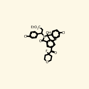 CCOC(=O)CC(c1ccc(Cl)cc1)N1C(=O)c2cc(C(=O)C3(F)CCOCC3)cc(F)c2C1(O)c1ccc(Cl)cc1